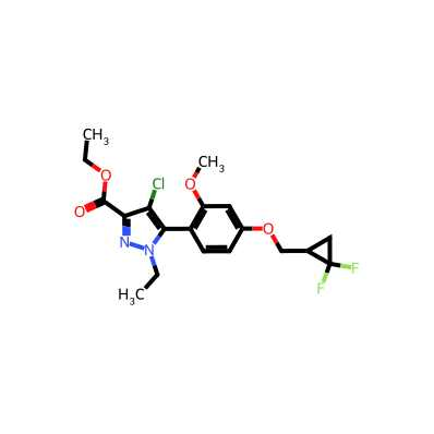 CCOC(=O)c1nn(CC)c(-c2ccc(OCC3CC3(F)F)cc2OC)c1Cl